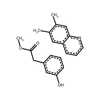 COC(=O)Cc1cccc(O)c1.Cc1cc2cccnc2cc1C